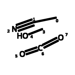 CC#N.CO.O=C=O